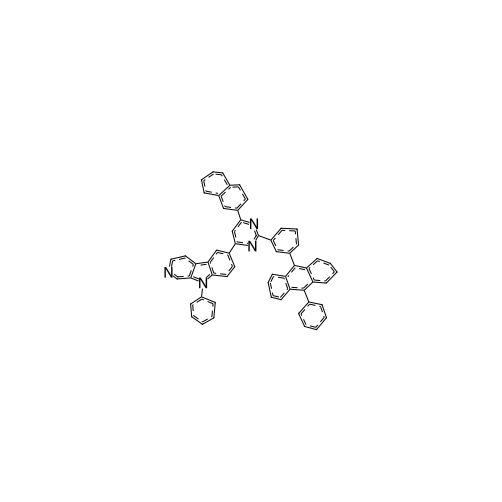 c1ccc(-c2c3ccccc3c(-c3cccc(-c4nc(-c5ccc6ccccc6c5)cc(-c5ccc6c(c5)c5ccncc5n6-c5ccccc5)n4)c3)c3ccccc23)cc1